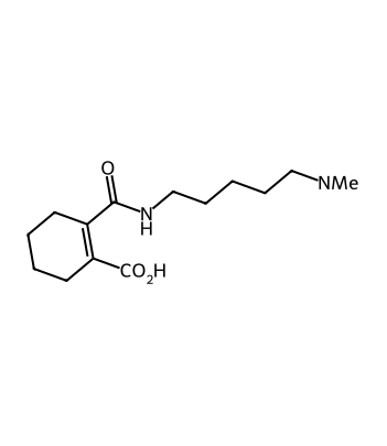 CNCCCCCNC(=O)C1=C(C(=O)O)CCCC1